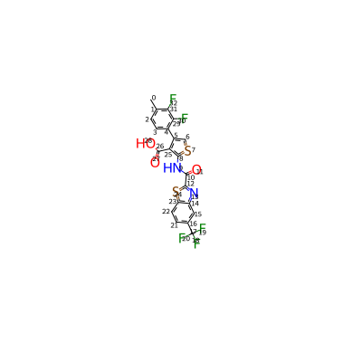 Cc1ccc(-c2csc(NC(=O)c3nc4cc(C(F)(F)F)ccc4s3)c2C(=O)O)c(F)c1F